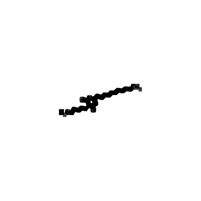 CCCCCCCCCCCC1=CC(=O)[C@@H](CCCCCC)C(=O)O1